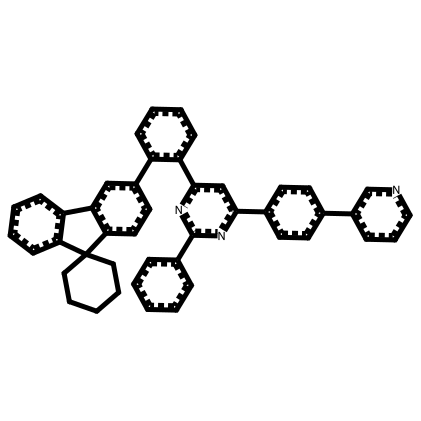 c1ccc(-c2nc(-c3ccc(-c4cccnc4)cc3)cc(-c3ccccc3-c3ccc4c(c3)-c3ccccc3C43CCCCC3)n2)cc1